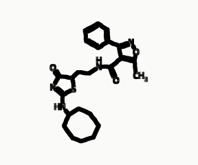 Cc1onc(-c2ccccc2)c1C(=O)NCCC1SC(NC2CCCCCCC2)=NC1=O